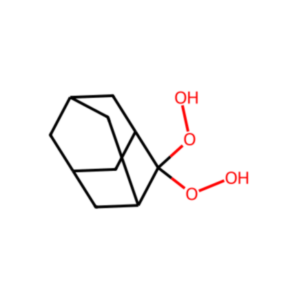 OOC1(OO)C2CC3CC(C2)CC1C3